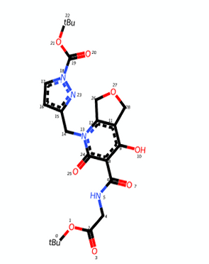 CC(C)(C)OC(=O)CNC(=O)c1c(O)c2c(n(Cc3ccn(C(=O)OC(C)(C)C)n3)c1=O)COC2